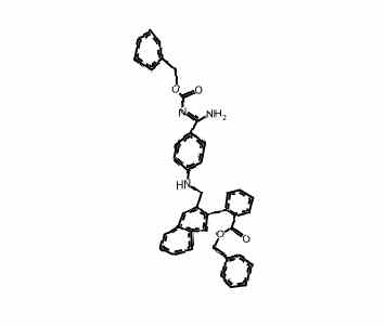 NC(=NC(=O)OCc1ccccc1)c1ccc(NCc2cc3ccccc3cc2-c2ccccc2C(=O)OCc2ccccc2)cc1